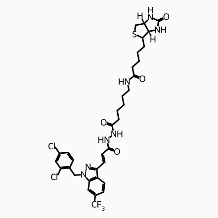 O=C(/C=C/c1nn(Cc2ccc(Cl)cc2Cl)c2cc(C(F)(F)F)ccc12)NNC(=O)CCCCCNC(=O)CCCCC1SC[C@@H]2NC(=O)N[C@H]12